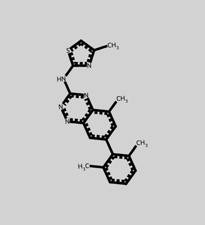 Cc1csc(Nc2nnc3cc(-c4c(C)cccc4C)cc(C)c3n2)n1